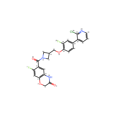 O=C1COc2cc(F)c(C(=O)N3CC(COc4ccc(-c5cccnc5Cl)cc4F)C3)cc2N1